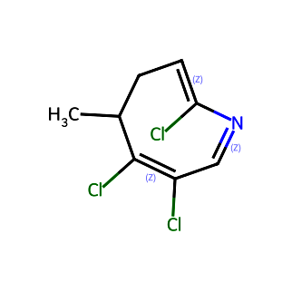 CC1C/C=C(Cl)/N=C\C(Cl)=C/1Cl